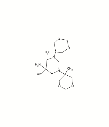 CCCC1(N)CN(C2(C)COCOC2)CN(C2(C)COCOC2)C1